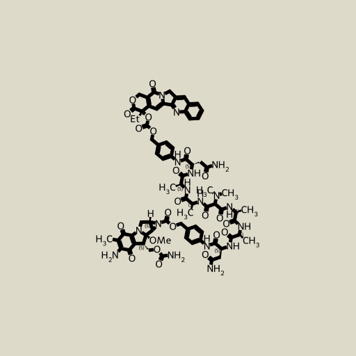 CC[C@@]1(OC(=O)OCc2ccc(NC(=O)[C@H](CC(N)=O)NC(=O)[C@H](C)NC(=O)[C@H](C)NC(=O)C(C(=O)N[C@@H](C)C(=O)N[C@@H](C)C(=O)N[C@@H](CC(N)=O)C(=O)Nc3ccc(COC(=O)N4C5[C@@H]4CN4C6=C(C(=O)C(N)=C(C)C6=O)[C@@H](COC(N)=O)[C@@]54OC)cc3)N(C)C)cc2)C(=O)OCc2c1cc1n(c2=O)Cc2cc3ccccc3nc2-1